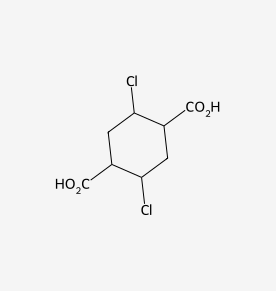 O=C(O)C1CC(Cl)C(C(=O)O)CC1Cl